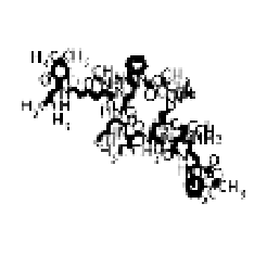 CCCCC(NC(=O)C(Cc1cc2ccccc2n1C(=O)OC(C)(C)C)NC(=O)C(CCCCNC(CC(C)C)=C1C(=O)CC(C)(C)CC1=O)NC(C)=O)C(=O)NC(C(=O)NC(CCCCN=[N+]=[N-])C(=O)NC(CC(C)C)C(=O)NC(CC1Cc2ccccc2N1C(=O)OC(C)(C)C)C(=O)NC)C(C)C